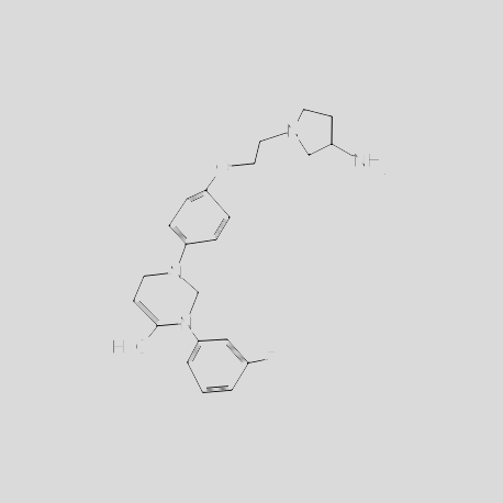 CC1=CCN(c2ccc(OCCN3CCC(N)C3)cc2)CN1c1cccc(F)c1